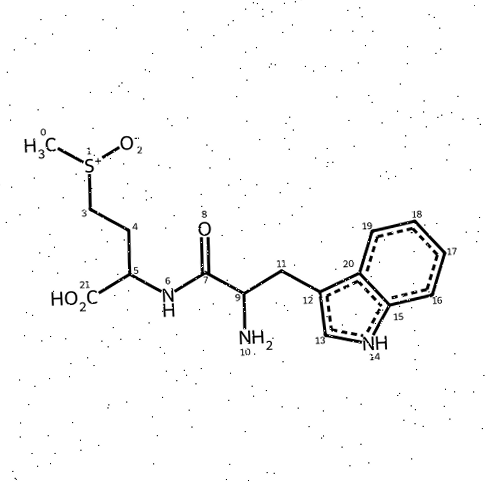 C[S+]([O-])CCC(NC(=O)C(N)Cc1c[nH]c2ccccc12)C(=O)O